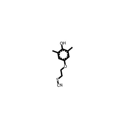 Cc1cc(OCCSC#N)cc(C)c1O